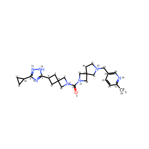 O=C(N1CC2(CC(c3nc(C4CC4)n[nH]3)C2)C1)N1CC2(CCN(Cc3ccc(C(F)(F)F)nc3)C2)C1